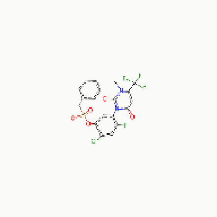 Cn1c(C(F)(F)F)cc(=O)n(-c2cc(OS(=O)(=O)Cc3ccccc3)c(Cl)cc2F)c1=O